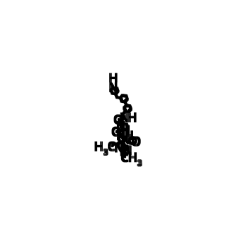 CCc1nc2c(cnn2CC)c(NC2CCOCC2)c1CNC(=O)c1cccc(C(=O)NCc2cccc(-c3cccc(CC4CCNCC4)c3)c2)n1